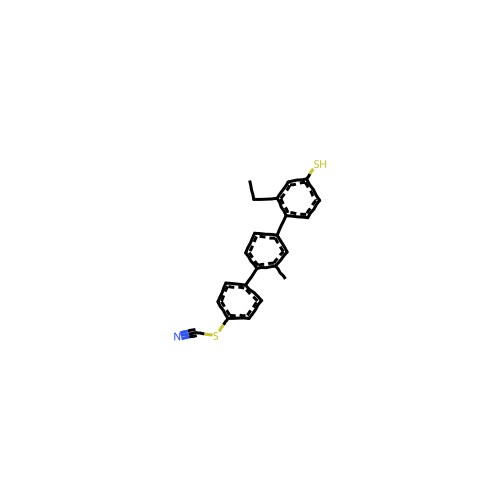 CCc1cc(S)ccc1-c1ccc(-c2ccc(SC#N)cc2)c(C)c1